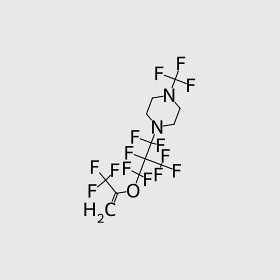 C=C(OC(F)(F)C(F)(C(F)(F)F)C(F)(F)N1CCN(C(F)(F)F)CC1)C(F)(F)F